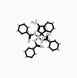 CC1=C[C](C)([Ti]([O]C(=O)C2CCCCC2)([O]C(=O)C2CCCCC2)[O]C(=O)C2CCCCC2)C2=C1CCCC2